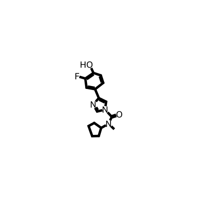 CN(C(=O)n1cnc(-c2ccc(O)c(F)c2)c1)C1CCCC1